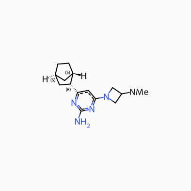 CNC1CN(c2cc([C@@H]3C[C@H]4CC[C@H]3C4)nc(N)n2)C1